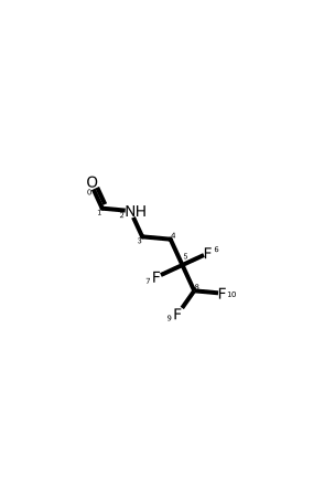 O=CNCCC(F)(F)C(F)F